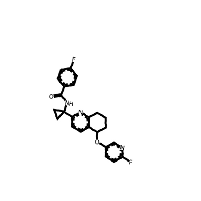 O=C(NC1(c2ccc3c(n2)CCCC3Oc2ccc(F)nc2)CC1)c1ccc(F)cc1